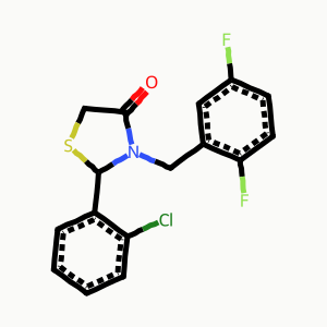 O=C1CSC(c2ccccc2Cl)N1Cc1cc(F)ccc1F